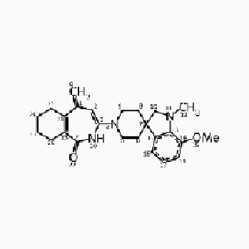 C=C1C=C(N2CCC3(CC2)CN(C)c2c(OC)cccc23)NC(=O)C2=C1CCCC2